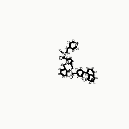 COc1cc(C(=O)N2Cc3ccc(C(=O)N(C)CCc4ccncc4)n3Cc3ccccc32)ccc1-c1cccc2ccccc12